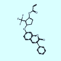 C=CC(=O)OC1CCC(Oc2ccc3cc(-c4ccccc4)c(=O)oc3c2)C1C(F)(F)F